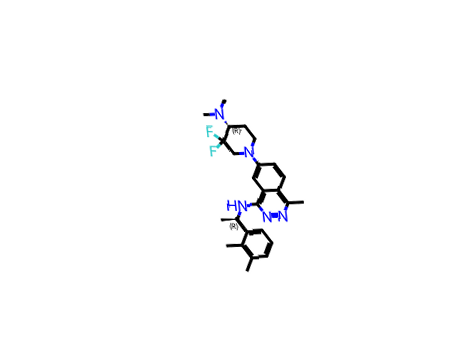 Cc1cccc([C@@H](C)Nc2nnc(C)c3ccc(N4CC[C@@H](N(C)C)C(F)(F)C4)cc23)c1C